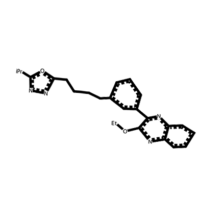 CCOc1nc2ccccc2nc1-c1cccc(CCCCc2nnc(C(C)C)o2)c1